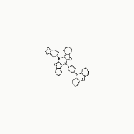 c1ccc2c(c1)Oc1ccccc1N2c1ccc(B2c3oc4ccccc4c3B(c3ccc4occc4c3)c3oc4ccccc4c32)cc1